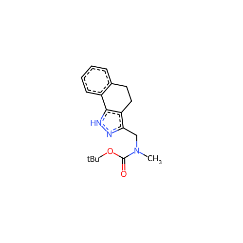 CN(Cc1n[nH]c2c1CCc1ccccc1-2)C(=O)OC(C)(C)C